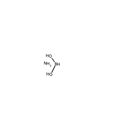 N.OBO